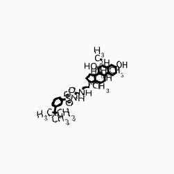 CC[C@H]1[C@@H](O)[C@@H]2[C@H](CC[C@]3(C)[C@@H](CCNC(=O)NS(=O)(=O)c4cccc(C(C)(C)C)c4)CC[C@@H]23)[C@@]2(C)CC[C@@H](O)C[C@@H]12